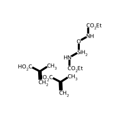 C=C(C)C(=O)O.C=C(C)C(=O)O.CCOC(=O)NO[SiH2]NC(=O)OCC